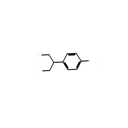 NCC(CC(=O)O)c1ccc([N+](=O)[O-])cc1